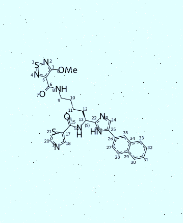 COc1nsnc1C(=O)NCCCC[C@H](NC(=O)c1cncs1)c1ncc(-c2ccc3ccccc3c2)[nH]1